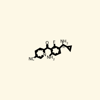 N#Cc1ccc(C(=O)c2c(N)ccc([C@H](N)C3CC3)c2F)nc1